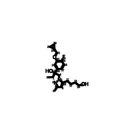 CC[C@@](O)(Cn1nc(C)cc1CCCCO)c1ccc(F)c(OCC2CC2)c1